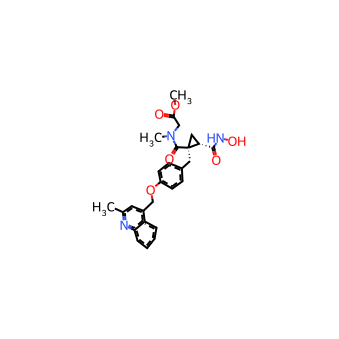 COC(=O)CN(C)C(=O)[C@@]1(Cc2ccc(OCc3cc(C)nc4ccccc34)cc2)C[C@@H]1C(=O)NO